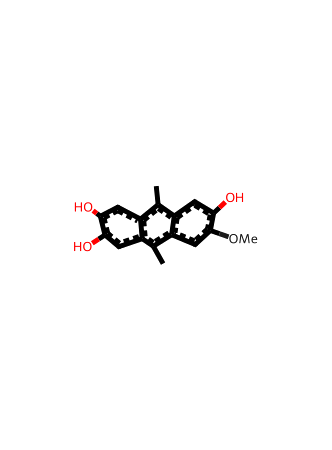 COc1cc2c(C)c3cc(O)c(O)cc3c(C)c2cc1O